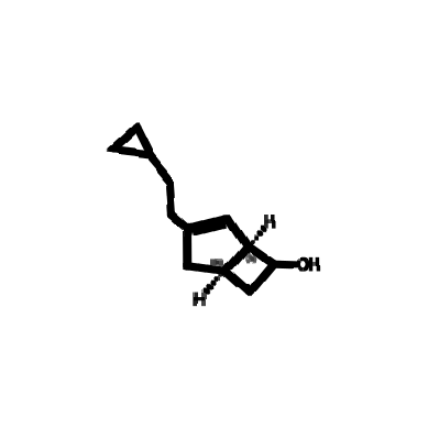 OC1C[C@H]2CC(CCC3CC3)=C[C@@H]12